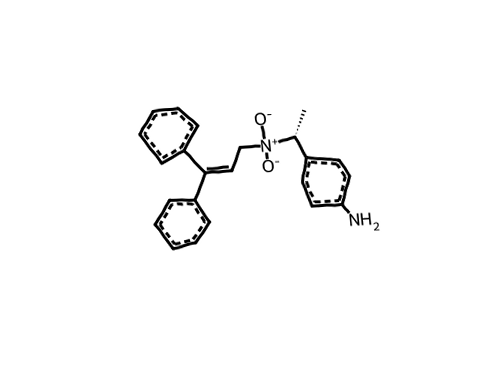 C[C@H](c1ccc(N)cc1)[N+]([O-])([O-])CC=C(c1ccccc1)c1ccccc1